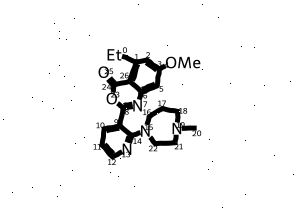 CCc1cc(OC)cc2nc(-c3cccnc3N3CCCN(C)CC3)oc(=O)c12